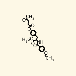 CCOc1ccc(C(=O)NC(Cc2ccc(OC(=O)CCC(C)=O)cc2)C(=O)OC)cc1